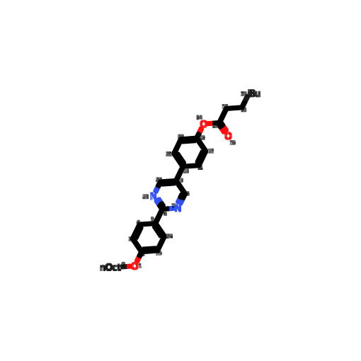 CCCCCCCCOc1ccc(-c2ncc(-c3ccc(OC(=O)CCC(C)CC)cc3)cn2)cc1